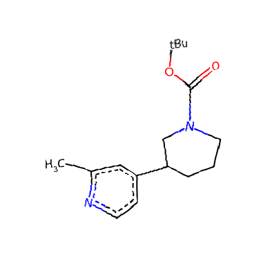 Cc1cc(C2CCCN(C(=O)OC(C)(C)C)C2)ccn1